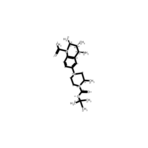 CC(=O)N1c2ccc(N3CCN(C(=O)OC(C)(C)C)C(C)C3)cc2[C@H](N)[C@@H](C)[C@@H]1C